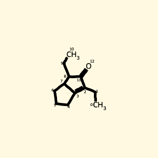 CCC1=C2CCCC2C(CC)C1=O